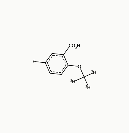 [2H]C([2H])([2H])Oc1ccc(F)cc1C(=O)O